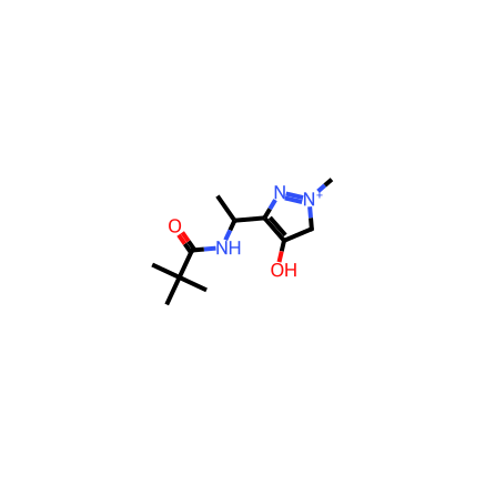 CC(NC(=O)C(C)(C)C)C1=C(O)C[N+](C)=N1